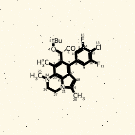 Cc1c([C@H](OC(C)(C)C)C(=O)O)c(-c2cc(F)c(Cl)c(F)c2)c2cc(C)n3c2c1N(C)CC3